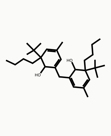 CCCCC1(C(C)(C)C)C=C(C)C=C(CC2=CC(C)=CC(CCCC)(C(C)(C)C)C2O)C1O